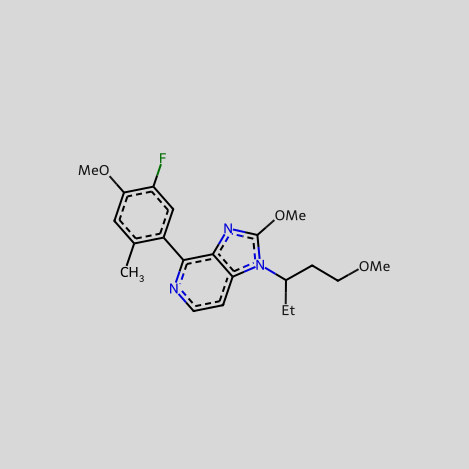 CCC(CCOC)n1c(OC)nc2c(-c3cc(F)c(OC)cc3C)nccc21